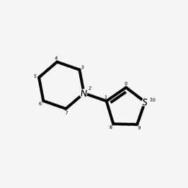 C1=C(N2CCCCC2)CCS1